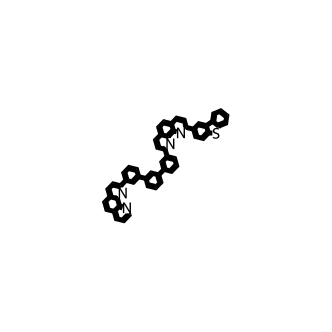 c1cc(-c2cccc(-c3ccc4ccc5cccnc5c4n3)c2)cc(-c2cccc(-c3ccc4ccc5ccc(-c6ccc7sc8ccccc8c7c6)nc5c4n3)c2)c1